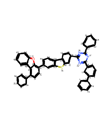 c1ccc(-c2cccc(-c3nc(-c4ccccc4)nc(-c4ccc5c(c4)sc4cc(-c6ccc(-c7ccccc7)c7c6oc6ccccc67)ccc45)n3)c2)cc1